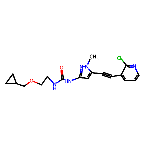 Cn1nc(NC(=O)NCCOCC2CC2)cc1C#Cc1cccnc1Cl